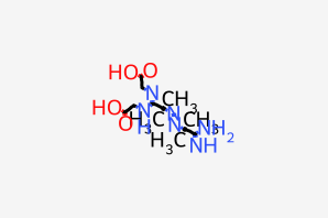 CC(C)(N=NC(C)(C)C(=NCC(=O)O)NCC(=O)O)C(=N)N